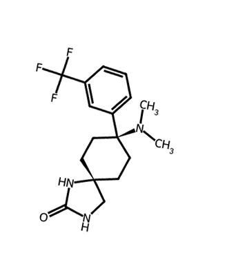 CN(C)[C@]1(c2cccc(C(F)(F)F)c2)CC[C@@]2(CC1)CNC(=O)N2